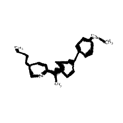 CCCCc1ccc(C(C)c2ccc(-c3ccc(OC)cc3)cc2)nc1